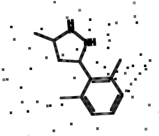 Cc1cccc(C)c1C1CC(C)NN1